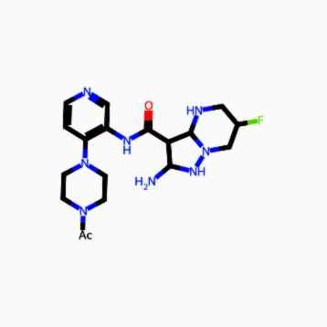 CC(=O)N1CCN(c2ccncc2NC(=O)C2C(N)NN3CC(F)CNC23)CC1